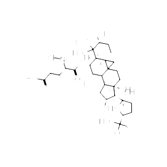 CC(C)(O)[C@@H]1CC[C@](C)([C@H]2[C@@H](O)C[C@@]3(C)C4C[C@H](OC(=O)[C@@H](CCC(=O)O)NCl)[C@H]5C(C)(C)[C@@H](O)CC[C@@]56CC46CC[C@]23C)O1